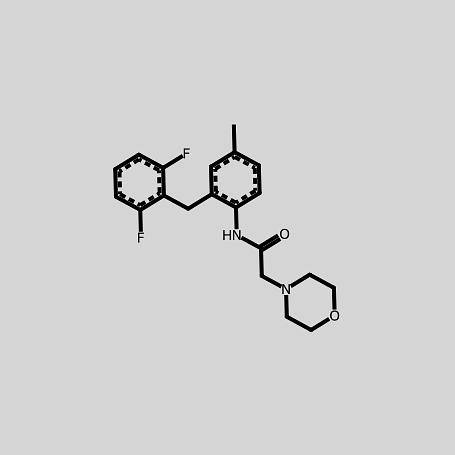 Cc1ccc(NC(=O)CN2CCOCC2)c(Cc2c(F)cccc2F)c1